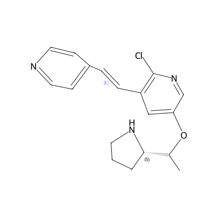 CC(Oc1cnc(Cl)c(/C=C/c2ccncc2)c1)[C@@H]1CCCN1